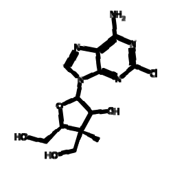 C[C@]1(CO)C(O)C(n2cnc3c(N)nc(Cl)nc32)O[C@@H]1CO